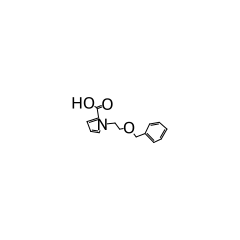 O=C(O)c1cccn1CCOCc1ccccc1